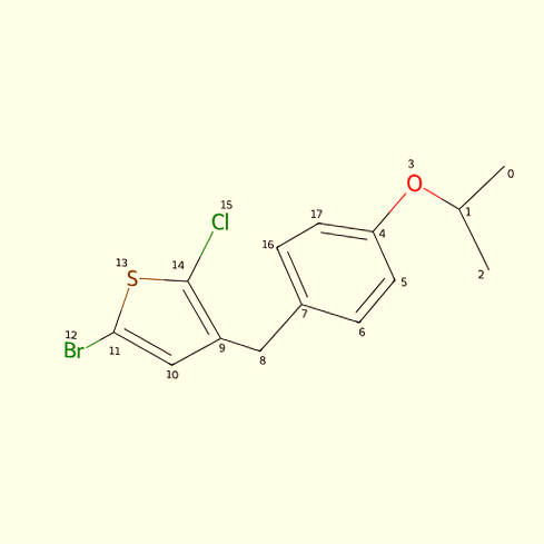 CC(C)Oc1ccc(Cc2cc(Br)sc2Cl)cc1